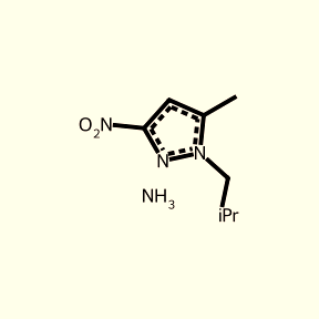 Cc1cc([N+](=O)[O-])nn1CC(C)C.N